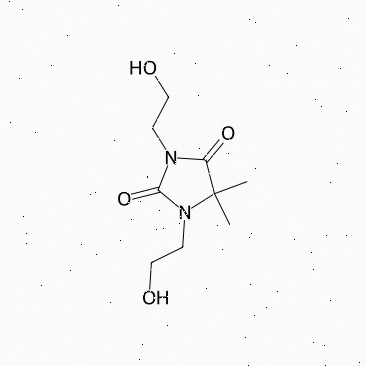 CC1(C)C(=O)N(CCO)C(=O)N1CCO